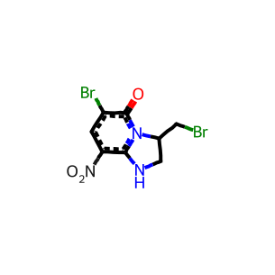 O=c1c(Br)cc([N+](=O)[O-])c2n1C(CBr)CN2